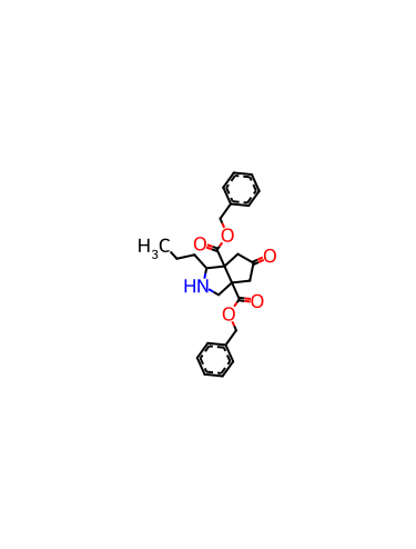 CCCC1NCC2(C(=O)OCc3ccccc3)CC(=O)CC12C(=O)OCc1ccccc1